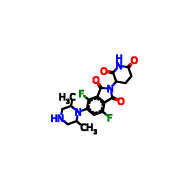 CC1CNCC(C)N1c1cc(F)c2c(c1F)C(=O)N(C1CCC(=O)NC1=O)C2=O